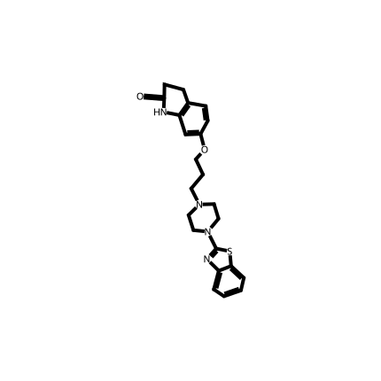 O=C1CCc2ccc(OCCCN3CCN(c4nc5ccccc5s4)CC3)cc2N1